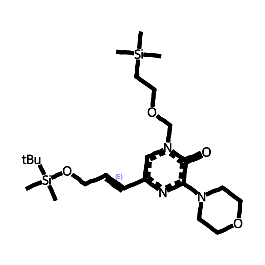 CC(C)(C)[Si](C)(C)OC/C=C/c1cn(COCC[Si](C)(C)C)c(=O)c(N2CCOCC2)n1